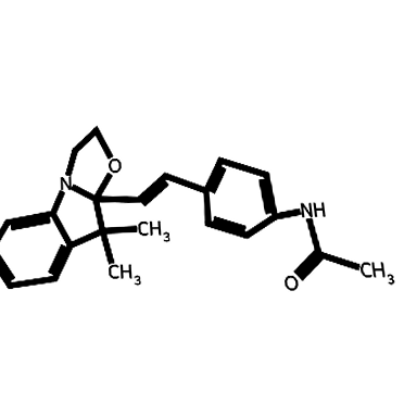 CC(=O)Nc1ccc(/C=C/C23OCCN2c2ccccc2C3(C)C)cc1